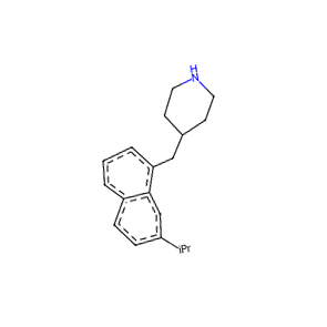 CC(C)c1ccc2cccc(CC3CCNCC3)c2c1